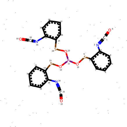 O=C=Nc1ccccc1SOP(OSc1ccccc1N=C=O)OSc1ccccc1N=C=O